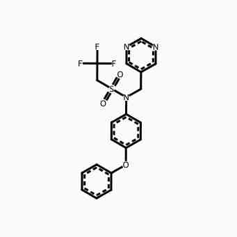 O=S(=O)(CC(F)(F)F)N(Cc1cncnc1)c1ccc(Oc2ccccc2)cc1